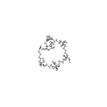 C#CCCCCOP(=O)(OC)OCCCOP(=O)(OC)OCCCOP(=O)(OC)OCCCOP(=O)(OC)OCCCO[PH](O)(OC)OCC1OC(C)CC1O